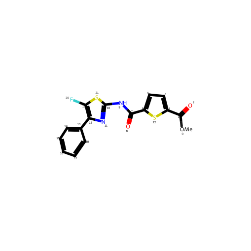 COC(=O)c1ccc(C(=O)Nc2nc(-c3ccccc3)c(F)s2)s1